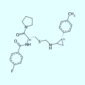 Cc1ccc([C@@H]2CC2NCSC[C@H](NC(=O)c2ccc(F)cc2)C(=O)N2CCCC2)cc1